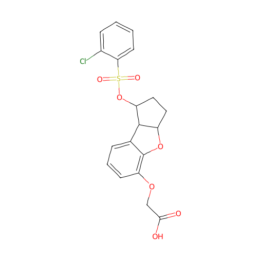 O=C(O)COc1cccc2c1OC1CCC(OS(=O)(=O)c3ccccc3Cl)C21